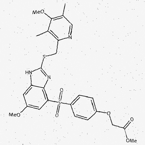 COC(=O)COc1ccc(S(=O)(=O)c2cc(OC)cc3[nH]c(SCc4ncc(C)c(OC)c4C)nc23)cc1